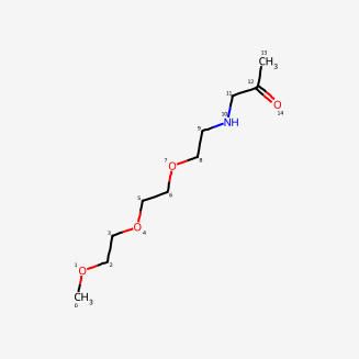 COCCOCCOCCNCC(C)=O